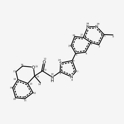 Cc1cc2cc(-c3cnc(NC(=O)C4(C)OCCc5ccccc54)s3)ccc2nn1